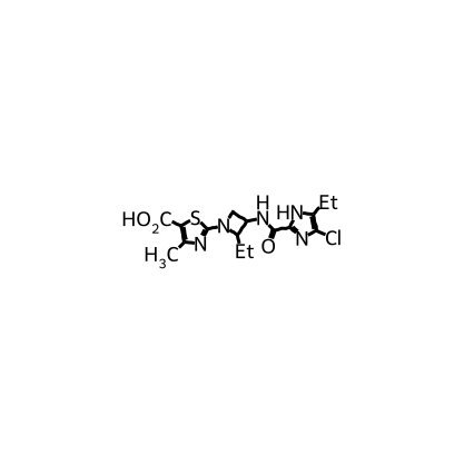 CCc1[nH]c(C(=O)NC2CN(c3nc(C)c(C(=O)O)s3)C2CC)nc1Cl